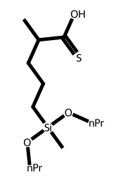 CCCO[Si](C)(CCCC(C)C(O)=S)OCCC